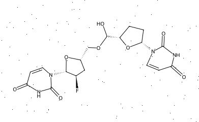 O=c1ccn([C@@H]2O[C@H]([CH]OC(O)[C@@H]3CC[C@H](n4ccc(=O)[nH]c4=O)O3)C[C@H]2F)c(=O)[nH]1